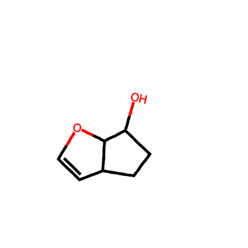 OC1CCC2C=COC12